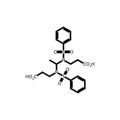 CC(N(CCC(=O)O)S(=O)(=O)c1ccccc1)N(CCC(=O)O)S(=O)(=O)c1ccccc1